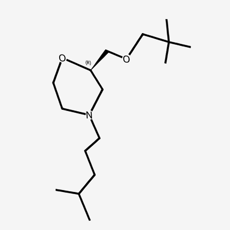 CC(C)CCCN1CCO[C@@H](COCC(C)(C)C)C1